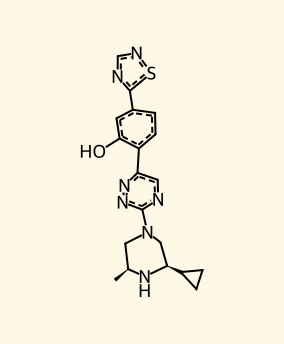 C[C@H]1CN(c2ncc(-c3ccc(-c4ncns4)cc3O)nn2)C[C@@H](C2CC2)N1